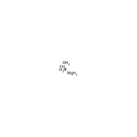 C.N.O.[MgH2]